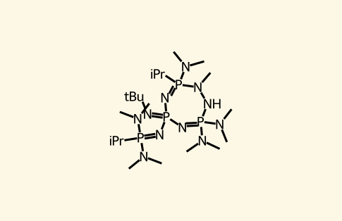 CC(C)P(=NP1(=NC(C)(C)C)N=P(N(C)C)(N(C)C)NN(C)P(C(C)C)(N(C)C)=N1)(N(C)C)N(C)C